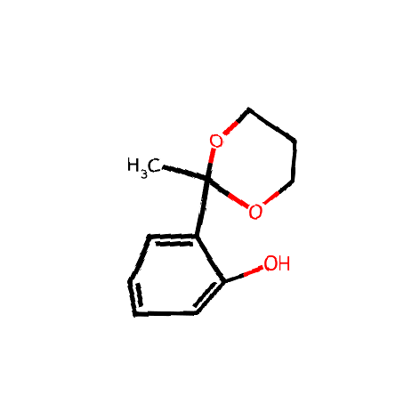 CC1(c2ccccc2O)OCCCO1